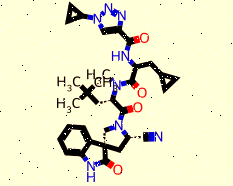 CN(C(=O)C(CC1CC1)NC(=O)c1cn(C2CC2)nn1)[C@@H](CC(C)(C)C)C(=O)N1C[C@]2(C[C@H]1C#N)C(=O)Nc1ccccc12